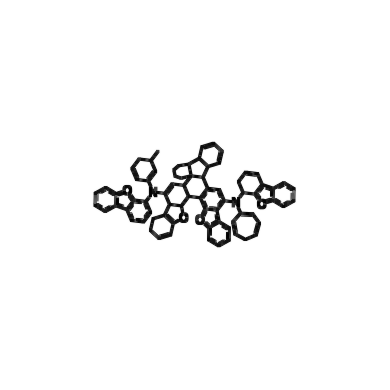 CC1C=C(N(C2=CC3C(c4c(cc(N(C5=CC=CCC=C5)C5CC=Cc6c5oc5ccccc65)c5c4oc4ccccc45)C4C5C=CC=CC5C5CCCCC354)C3OC4=C(CCC=C4)C23)c2cccc3c2oc2ccccc23)C=CC1